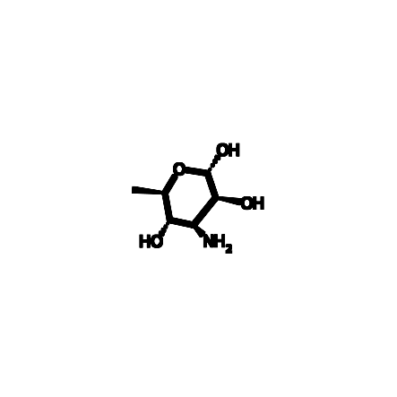 C[C@H]1O[C@H](O)[C@@H](O)[C@@H](N)[C@@H]1O